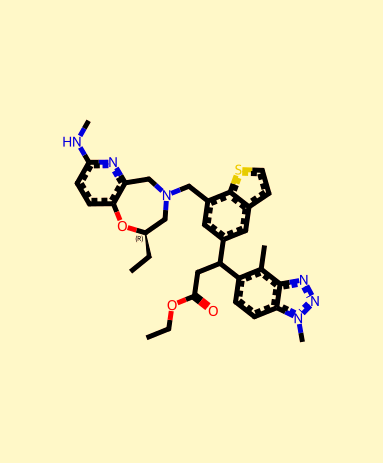 CCOC(=O)CC(c1cc(CN2Cc3nc(NC)ccc3O[C@H](CC)C2)c2sccc2c1)c1ccc2c(nnn2C)c1C